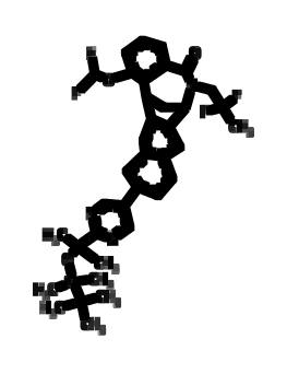 CC(F)(F)CN1C(=O)c2cccc(OC(F)F)c2C2CC1c1cc3ccc(-c4cnc(C(C)(C)O[Si](C)(C)C(C)(C)C)nc4)cc3cc12